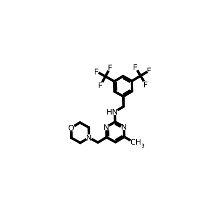 Cc1cc(CN2CCOCC2)nc(NCc2cc(C(F)(F)F)cc(C(F)(F)F)c2)n1